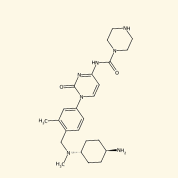 Cc1cc(-n2ccc(NC(=O)N3CCNCC3)nc2=O)ccc1CN(C)[C@H]1CC[C@H](N)CC1